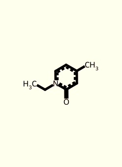 CCn1ccc(C)cc1=O